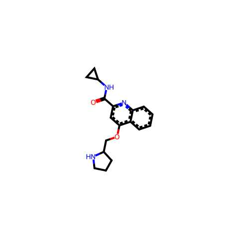 O=C(NC1CC1)c1cc(OCC2CCCN2)c2ccccc2n1